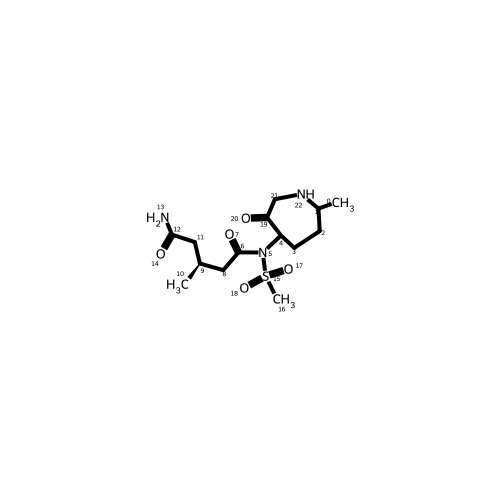 CC1CCC(N(C(=O)C[C@@H](C)CC(N)=O)S(C)(=O)=O)C(=O)CN1